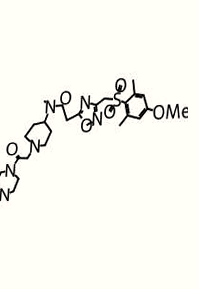 COc1cc(C)c(S(=O)(=O)Cc2noc(CC(=O)N(C)C3CCN(CC(=O)N4CCN(C)CC4)CC3)n2)c(C)c1